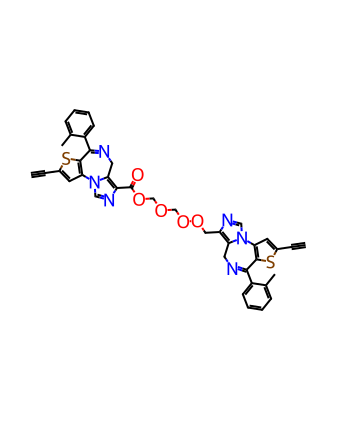 C#Cc1cc2c(s1)C(c1ccccc1C)=NCc1c(COOCOCOC(=O)c3ncn4c3CN=C(c3ccccc3C)c3sc(C#C)cc3-4)ncn1-2